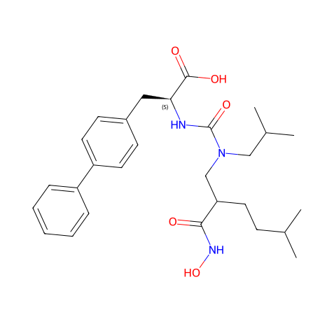 CC(C)CCC(CN(CC(C)C)C(=O)N[C@@H](Cc1ccc(-c2ccccc2)cc1)C(=O)O)C(=O)NO